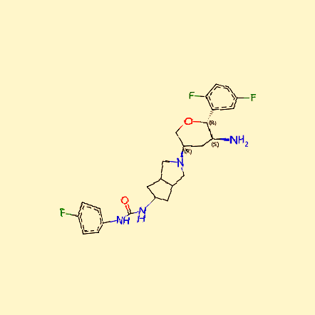 N[C@H]1C[C@@H](N2CC3CC(NC(=O)Nc4ccc(F)cc4)CC3C2)CO[C@@H]1c1cc(F)ccc1F